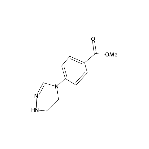 COC(=O)c1ccc(N2C=NNCC2)cc1